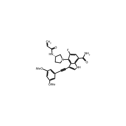 C=CC(=O)N[C@H]1CCN(c2c(F)cc(C(N)=O)c3[nH]cc(C#Cc4cc(OC)cc(OC)c4)c23)C1